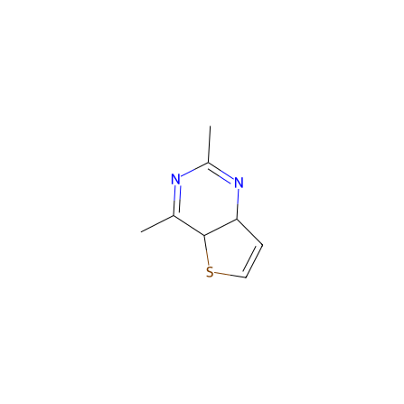 CC1=NC2C=CSC2C(C)=N1